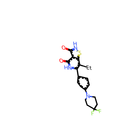 CCc1c(-c2ccc(N3CCC(F)(F)CC3)cc2)[nH]c(=O)c2c(=O)[nH]sc12